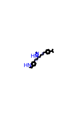 C=NNC(=C\C/C=C/c1ccc(C(C)C)cc1)/C=C/c1ccc2cc[nH]c2c1